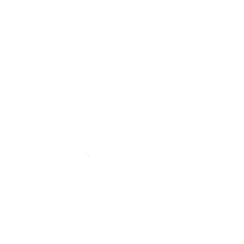 c1ccc(-n2ccc3cc4cc(-c5cccc6c5sc5ccccc56)c5ccc6c7ccccc7oc6c5c4cc32)cc1